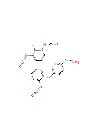 Cc1c(N=C=O)cccc1N=C=O.O=C=Nc1ccc(Cc2ccccc2N=C=O)cc1